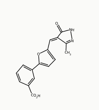 CC1=NNC(=O)/C1=C/c1ccc(-c2cccc(C(=O)O)c2)o1